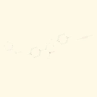 CC#CCOc1ccc(S(=O)(=O)NC(C(=O)NO)c2ccc(OCCN3CCCC3)cc2)cc1